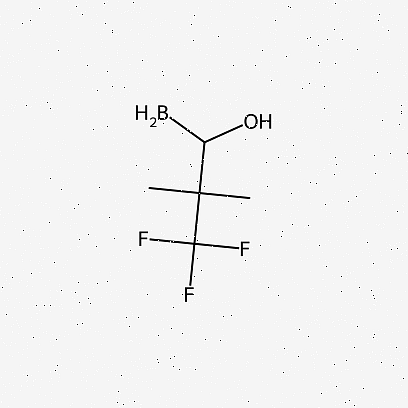 BC(O)C(C)(C)C(F)(F)F